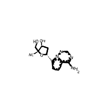 N#C[C@]1(CO)O[C@@H](c2ccc3c(N)ncnn23)C[C@@H]1O